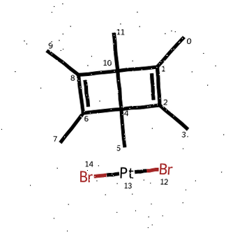 CC1=C(C)C2(C)C(C)=C(C)C12C.[Br][Pt][Br]